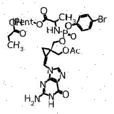 CCC(=O)O.CCCC(C)OC(=O)C(C)N[P@](=O)(OC[C@]1(COC(C)=O)C/C1=C/n1cnc2c(=O)[nH]c(N)nc21)Oc1ccc(Br)cc1